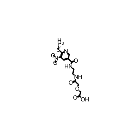 CSc1ncc(C(=O)NCCNC(=O)COCC(=O)O)cc1[N+](=O)[O-]